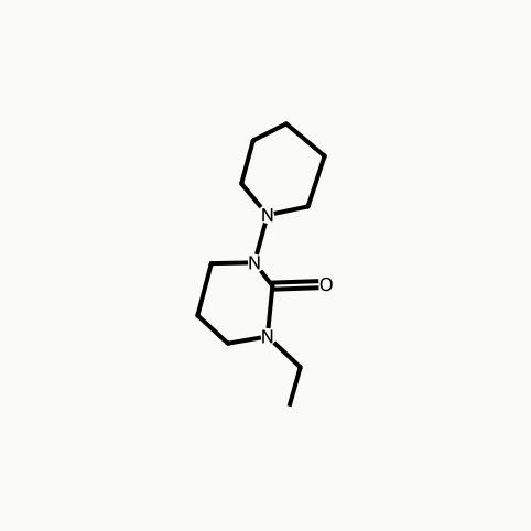 CCN1CCCN(N2CCCCC2)C1=O